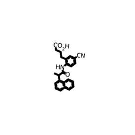 CC(C(=O)Nc1ccc(C#N)cc1CCCC(=O)O)c1cccc2ccccc12